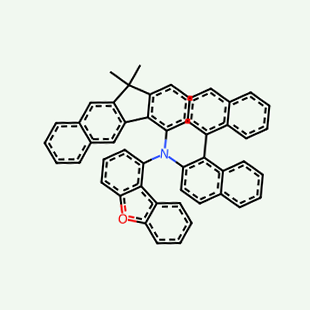 CC1(C)c2cc3ccccc3cc2-c2c(N(c3ccc4ccccc4c3-c3cccc4ccccc34)c3cccc4oc5ccccc5c34)cccc21